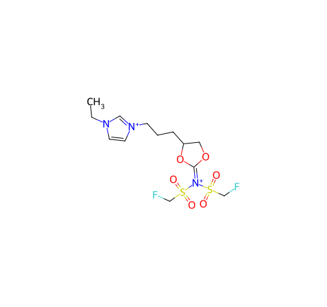 CCn1cc[n+](CCCC2COC(=[N+](S(=O)(=O)CF)S(=O)(=O)CF)O2)c1